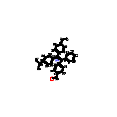 CCc1ccc(/C(=C(\c2ccccc2)c2ccc(C=O)cc2)c2ccc(C(C)C)cc2)cc1